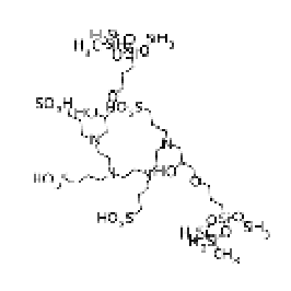 C[SiH2]O[Si](CCCOCC(O)CN(CCCS(=O)(=O)O)CCN(CCCS(=O)(=O)O)CCN(CCCS(=O)(=O)O)CCN(CCCS(=O)(=O)O)CC(O)COCCC[Si](O[SiH3])(O[SiH3])O[SiH2]C)(O[SiH3])O[SiH3]